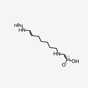 CCCCNC=CCCCCCN/C=[P+](\[O-])O